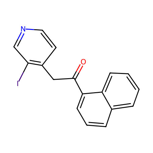 O=C(Cc1ccncc1I)c1cccc2ccccc12